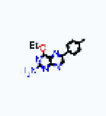 CCOc1nc(N)nc2ncc(-c3ccc(C)cc3)nc12